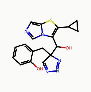 Oc1ccccc1CC1(C(O)c2c(C3CC3)sc3cncn23)C=NN=N1